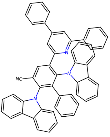 N#Cc1cc(-c2cc(-c3ccccc3)cc(-c3ccccc3)n2)c(-n2c3ccccc3c3ccccc32)c(-c2ccccc2)c1-n1c2ccccc2c2ccccc21